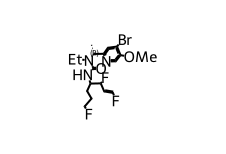 CCN(C(=O)NC(CCCF)C(F)C=CF)[C@H](C)c1cc(Br)c(OC)cn1